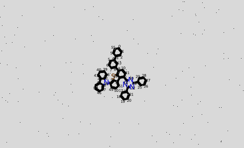 c1ccc(-c2cccc(-c3ccc(-c4nc(-c5ccccc5)nc(-c5ccccc5)n4)c4c3sc3c(-n5c6ccccc6c6ccccc65)cccc34)c2)cc1